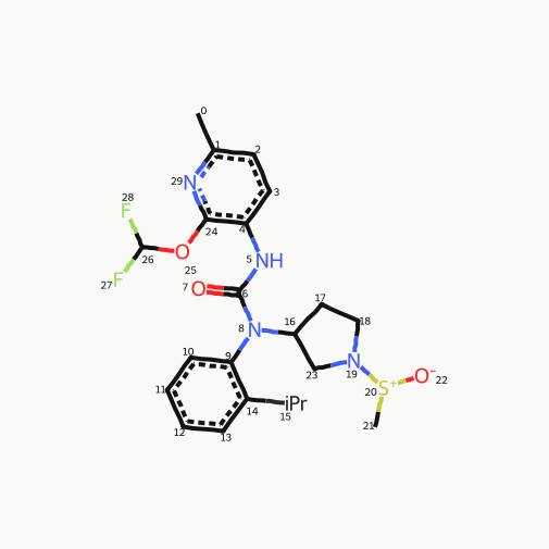 Cc1ccc(NC(=O)N(c2ccccc2C(C)C)C2CCN([S+](C)[O-])C2)c(OC(F)F)n1